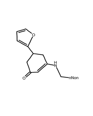 CCCCCCCCCCNC1=CC(=O)CC(c2ccco2)C1